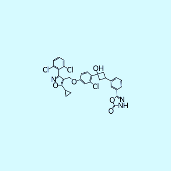 O=c1[nH]nc(-c2cccc(C3CC(O)(c4ccc(OCc5c(-c6c(Cl)cccc6Cl)noc5C5CC5)cc4Cl)C3)c2)o1